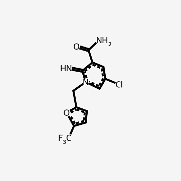 N=c1c(C(N)=O)cc(Cl)cn1Cc1ccc(C(F)(F)F)o1